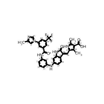 Cc1cn(-c2cc(C(=O)Nc3cccc(Nc4ccc5c(c4)NC(=O)/C5=C\c4[nH]c(C)c(C(=O)O)c4C)c3)cc(C(F)(F)F)c2)cn1